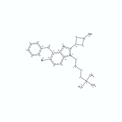 C[Si](C)(C)CCOCn1c(C2CC(O)C2)nc2c(Oc3ccccc3)c(Br)ccc21